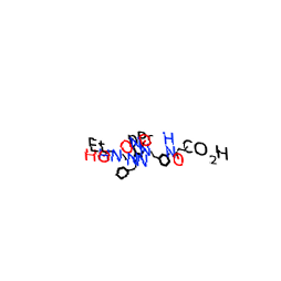 CCCn1c(=O)c2c(nc(Cc3ccccc3)n2CCNCC(O)CC)n(CCc2cccc(NC(=O)CCC(=O)O)c2)c1=O